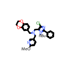 CCCCn1c(-c2ccccc2)nc(Cl)c1CN(Cc1ccc(OC)nc1)Cc1ccc2c(c1)OCCO2